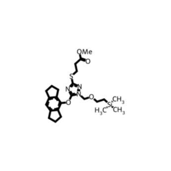 COC(=O)CCSc1nc(Oc2c3c(cc4c2CCC4)CCC3)n(COCC[Si](C)(C)C)n1